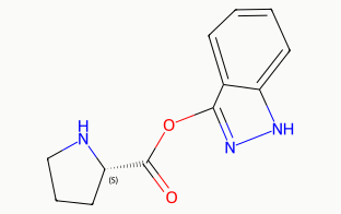 O=C(Oc1n[nH]c2ccccc12)[C@@H]1CCCN1